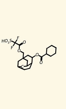 O=C(OC1CC2(COC(=O)C(F)(F)S(=O)(=O)O)CC3CCC1C(C3)C2)C1CCCCC1